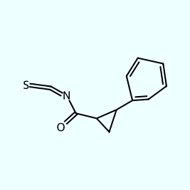 O=C(N=C=S)C1CC1c1ccccc1